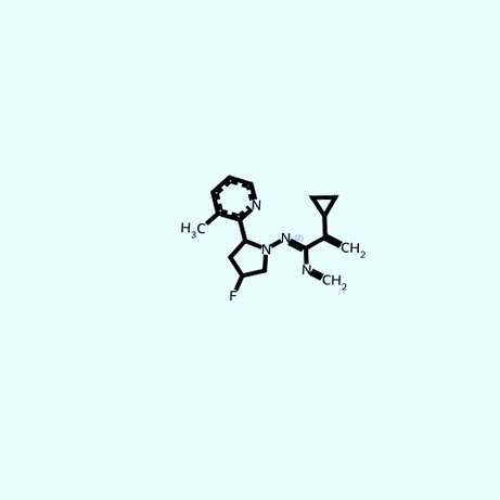 C=N/C(=N\N1CC(F)CC1c1ncccc1C)C(=C)C1CC1